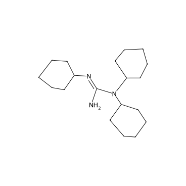 N/C(=N\C1CCCCC1)N(C1CCCCC1)C1CCCCC1